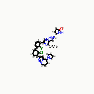 COc1nc(-c2cccc(-c3cccc(-c4cc5n(n4)CCCC5N4CCCC4)c3Cl)c2Cl)cnc1CNC[C@@H]1CCC(=O)N1